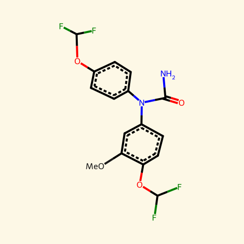 COc1cc(N(C(N)=O)c2ccc(OC(F)F)cc2)ccc1OC(F)F